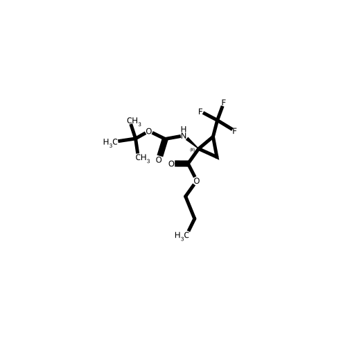 CCCOC(=O)[C@@]1(NC(=O)OC(C)(C)C)CC1C(F)(F)F